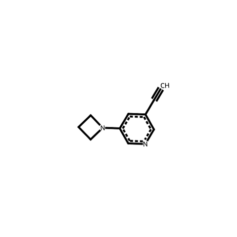 C#Cc1cncc(N2CCC2)c1